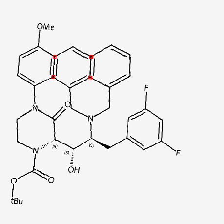 COc1ccc(N2CCN(C(=O)OC(C)(C)C)[C@@H]([C@@H](O)[C@H](Cc3cc(F)cc(F)c3)N(Cc3ccccc3)Cc3ccccc3)C2=O)cc1